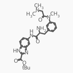 CN(C)CC(=O)N(C)c1cccc(CC(N)C(=O)Nc2ccc3[nH]c(C(=O)OC(C)(C)C)nc3c2)c1